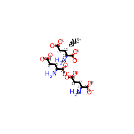 NC(CCC(=O)[O-])C(=O)[O-].NC(CCC(=O)[O-])C(=O)[O-].NC(CCC(=O)[O-])C(=O)[O-].[Al+3].[Al+3]